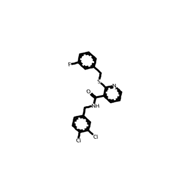 O=C(NCc1ccc(Cl)c(Cl)c1)c1cccnc1SCc1cccc(F)c1